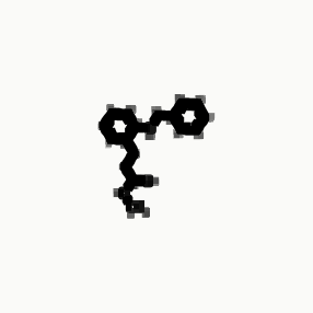 COC(=O)CCc1ccccc1OCc1ccccc1